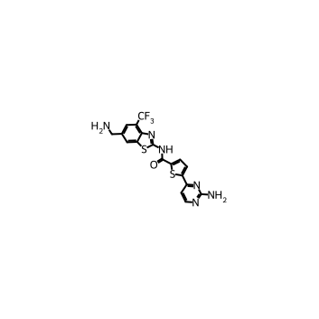 NCc1cc(C(F)(F)F)c2nc(NC(=O)c3ccc(-c4ccnc(N)n4)s3)sc2c1